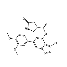 COc1ccc(-c2cc(O[C@H](C)C3CNC(=O)C3)c3c(Cl)cnn3c2)cc1OC